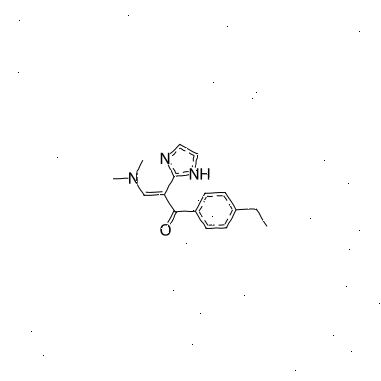 CCc1ccc(C(=O)C(=CN(C)C)c2ncc[nH]2)cc1